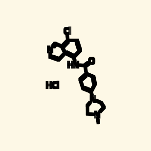 CN1CCN(c2ccc(C(=O)Nc3ccc(Cl)c4cnccc34)cc2)CC1.Cl